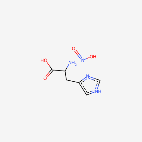 NC(Cc1c[nH]cn1)C(=O)O.O=NO